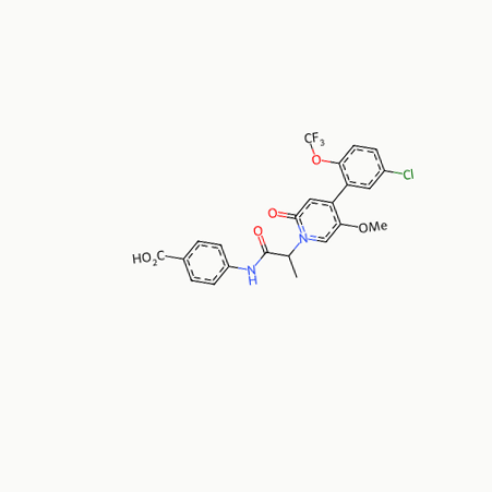 COc1cn(C(C)C(=O)Nc2ccc(C(=O)O)cc2)c(=O)cc1-c1cc(Cl)ccc1OC(F)(F)F